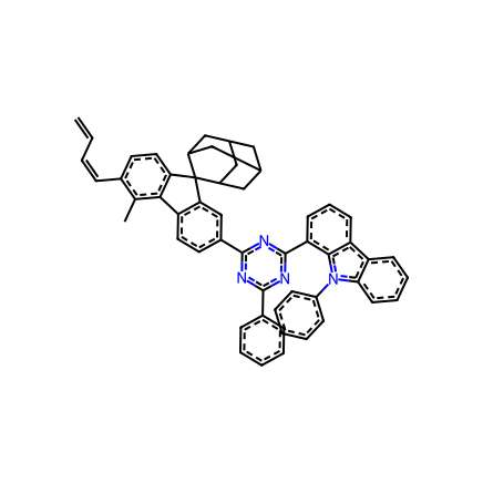 C=C/C=C\c1ccc2c(c1C)-c1ccc(-c3nc(-c4ccccc4)nc(-c4cccc5c6ccccc6n(-c6ccccc6)c45)n3)cc1C21C2CC3CC(C2)CC1C3